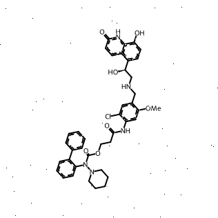 COc1cc(NC(=O)CCOC(=O)N(c2ccccc2-c2ccccc2)N2CC[CH]CC2)c(Cl)cc1CNC[C@@H](O)c1ccc(O)c2[nH]c(=O)ccc12